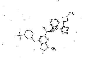 CC1CC(c2cccc(NC(=O)c3cc(CN4CCCC(C(F)(F)F)C4)c4c(n3)C(C)CC4)c2)(c2nncn2C)C1